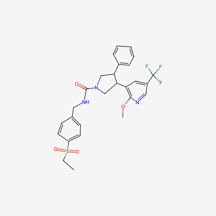 CCS(=O)(=O)c1ccc(CNC(=O)N2CC(c3ccccc3)C(c3cc(C(F)(F)F)cnc3OC)C2)cc1